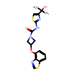 CC(C)(O)c1csc(NC(=O)N2CC(Oc3cccc4scnc34)C2)n1